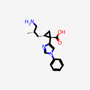 C[C@H](CN)C[C@@H]1C[C@]1(C(=O)O)c1cn(-c2ccccc2)cn1